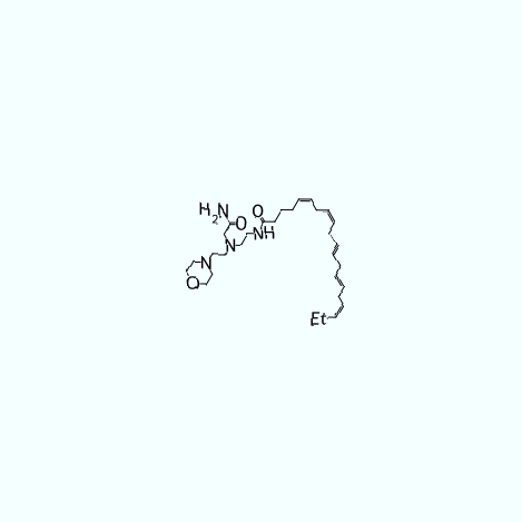 CC/C=C\CC=CCC=CC/C=C\C/C=C\CCCC(=O)NCCN(CCN1CCOCC1)CC(N)=O